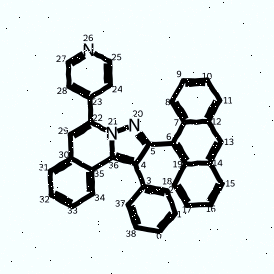 c1ccc(-c2c(-c3c4ccccc4cc4ccccc34)nn3c(-c4ccncc4)cc4ccccc4c23)cc1